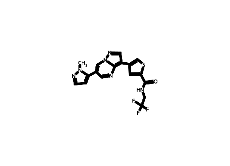 Cn1nccc1-c1cnc2c(-c3csc(C(=O)NCC(F)(F)F)c3)cnn2c1